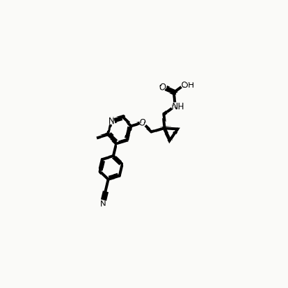 Cc1ncc(OCC2(CNC(=O)O)CC2)cc1-c1ccc(C#N)cc1